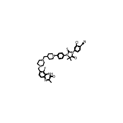 Cc1nc2ccc(CN3CCN(CC4CCN(c5ccc(N6C(=S)N(c7ccc(C#N)c(Cl)c7)C(=O)C6(C)C)cc5)CC4)CC3)c(F)c2[nH]c1=O